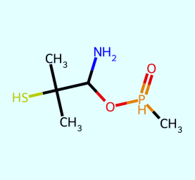 C[PH](=O)OC(N)C(C)(C)S